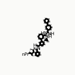 CCC/C=C(\C)C[C@@H](C)NC(/N=C(\C)c1cccc(C2=CCCCC(C(NC(=N)C3=CCC(C4=CCCC=C4)=CC=C3)NC3=CC3)=C2)c1)c1ccccc1